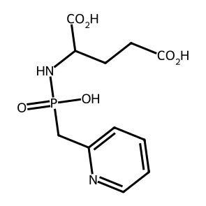 O=C(O)CCC(NP(=O)(O)Cc1ccccn1)C(=O)O